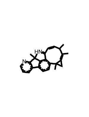 C/C1=C2\CC2(C)c2ccc3c(c2C(=N)/C=C\C1C)C(C)(C)c1ncccc1-3